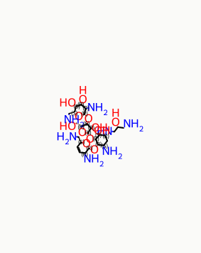 NCC(O)CN[C@@H]1C[C@H](N)[C@@H](O[C@H]2O[C@H](CN)C=C[C@H]2N)[C@H](O[C@@H]2O[C@H](CO)[C@@H](O[C@H]3O[C@@H](CN)[C@@H](O)[C@H](O)[C@H]3N)[C@H]2O)[C@H]1O